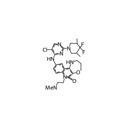 CNCCn1c(=O)c2c(c3cc(Nc4nc(N5CC(C)C(F)(F)C(C)C5)ncc4Cl)ccc31)NCCCO2